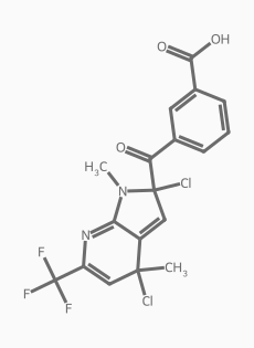 CN1C2=NC(C(F)(F)F)=CC(C)(Cl)C2=CC1(Cl)C(=O)c1cccc(C(=O)O)c1